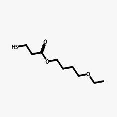 CCOCCCCOC(=O)CCS